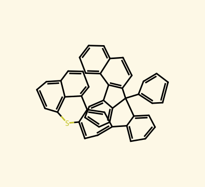 c1ccc(C2(c3ccccc3-c3ccc4c(c3)-c3cccc5cccc(c35)S4)c3ccccc3-c3c2ccc2ccccc32)cc1